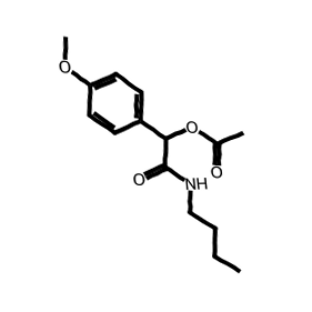 CCCCNC(=O)C(OC(C)=O)c1ccc(OC)cc1